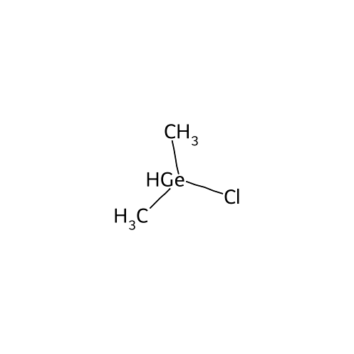 [CH3][GeH]([CH3])[Cl]